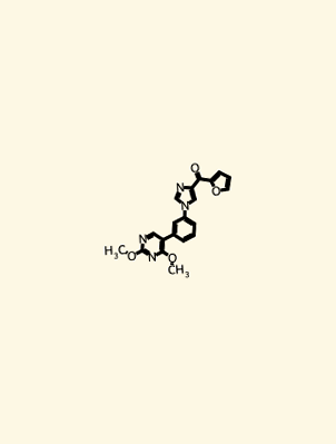 COc1ncc(-c2cccc(-n3cnc(C(=O)c4ccco4)c3)c2)c(OC)n1